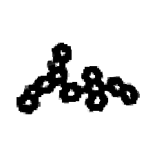 C1=C(c2c3c(c(-c4ccc5ccccc5c4)c4ccccc24)=CCCC=3)CCC=C1c1cc2c3ccccc3oc2c2cc3sc4ccccc4c3cc12